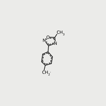 [CH2]c1ccc(-c2noc(C)n2)cc1